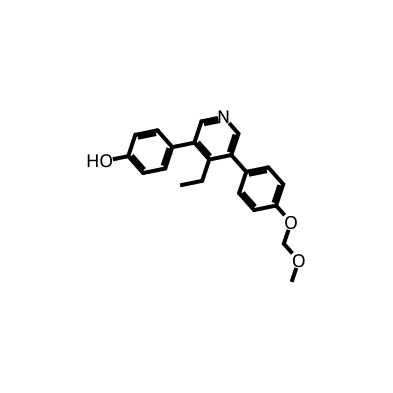 CCc1c(-c2ccc(O)cc2)cncc1-c1ccc(OCOC)cc1